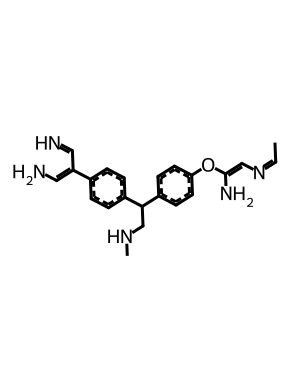 C/C=N\C=C(/N)Oc1ccc(C(CNC)c2ccc(/C(C=N)=C/N)cc2)cc1